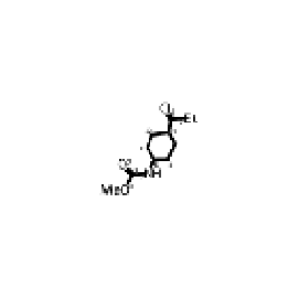 CCC(=O)C1CCC(NC(=O)OC)CC1